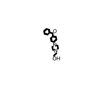 O=C(c1ccccc1)c1ccc(N2CCN(CCO)CC2)cc1